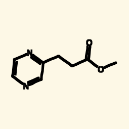 COC(=O)CCc1cnccn1